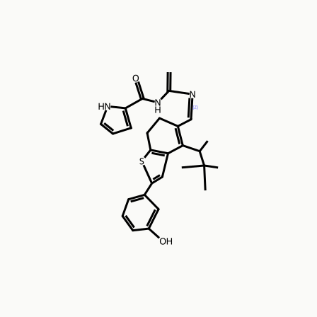 C=C(/N=C\C1=C(C(C)C(C)(C)C)c2cc(-c3cccc(O)c3)sc2CC1)NC(=O)c1ccc[nH]1